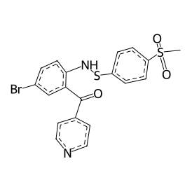 CS(=O)(=O)c1ccc(SNc2ccc(Br)cc2C(=O)c2ccncc2)cc1